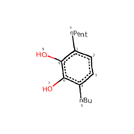 CCCCCc1ccc(CCCC)c(O)c1O